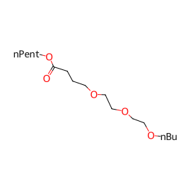 CCCCCOC(=O)CCCOCCOCCOCCCC